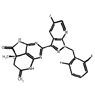 C=C1C[C@]2(C)C(=O)Nc3nc(-c4nn(Cc5c(F)cccc5F)c5ncc(F)cc45)nc(c32)N1